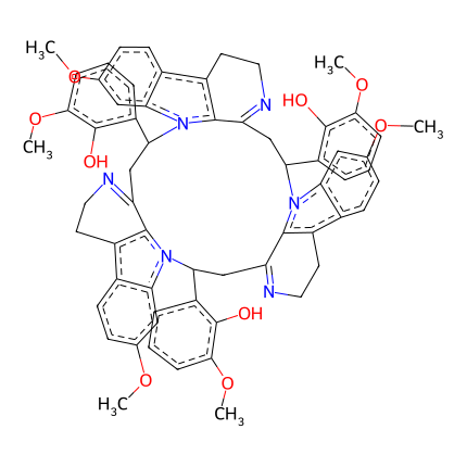 COc1ccc2c3c4n(c2c1)C(c1cccc(OC)c1O)CC1=NCCc2c1n(c1cc(OC)ccc21)C(c1cccc(OC)c1O)CC1=NCCc2c1n(c1cc(OC)ccc21)C(c1cccc(OC)c1O)CC4=NCC3